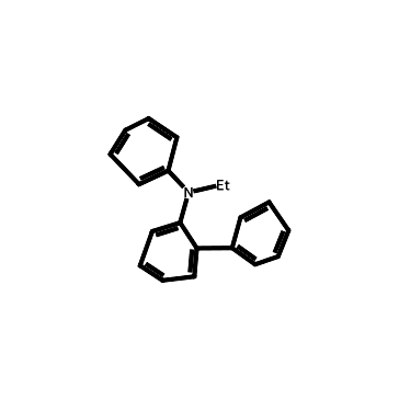 CCN(c1ccccc1)c1ccccc1-c1ccccc1